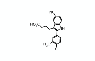 Cc1cc(-c2[nH]c3ccc(C#N)cc3c2CCCC(=O)O)ccc1Cl